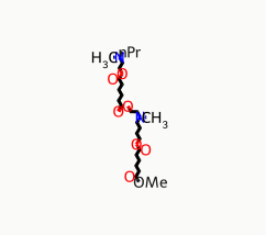 CCCN(C)CCOC(=O)CCCCC(=O)OCCN(C)CCCCOC(=O)CCCCC(=O)OC